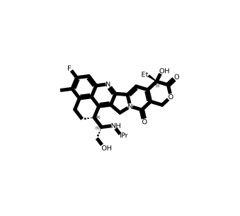 CC[C@@]1(O)C(=O)OCc2c1cc1n(c2=O)Cc2c-1nc1cc(F)c(C)c3c1c2[C@H]([C@@H](CO)NC(C)C)CC3